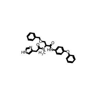 CN(C(=O)Cc1c[nH]cn1)C(COCc1ccccc1)C(=O)Nc1ccc(Oc2ccccc2)cc1